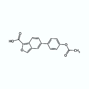 CC(=O)Oc1ccc(-c2ccc3c(C(=O)O)occ3c2)cc1